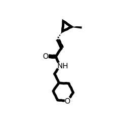 C[C@@H]1C[C@H]1/C=C/C(=O)NCC1CCOCC1